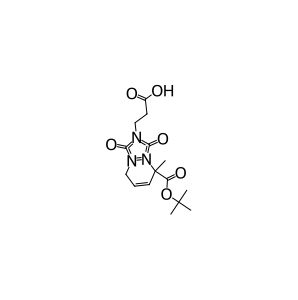 CC(C)(C)OC(=O)C1(C)C=CCn2c(=O)n(CCC(=O)O)c(=O)n21